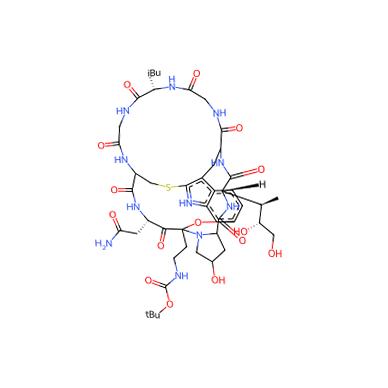 CCC(C)[C@@H]1NC(=O)CNC(=O)C2Cc3c4[nH]c5cc(ccc35)OC(CCNC(=O)OC(C)(C)C)(C(=O)[C@H](CC(N)=O)NC(=O)C(CS4)NC(=O)CNC1=O)N1CC(O)CC1C(=O)N[C@@H]([C@@H](C)[C@@H](O)CO)C(=O)N2